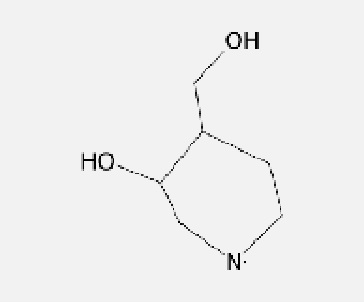 OCC1CC[N]CC1O